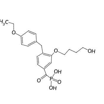 CCOc1ccc(Cc2ccc(C(=O)P(=O)(O)O)cc2OCCCCO)cc1